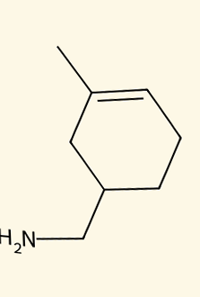 CC1=CCCC(CN)C1